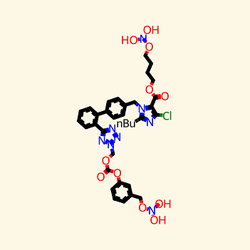 CCCCc1nc(Cl)c(C(=O)OCCCCON(O)O)n1Cc1ccc(-c2ccccc2-c2nnn(COC(=O)Oc3cccc(CON(O)O)c3)n2)cc1